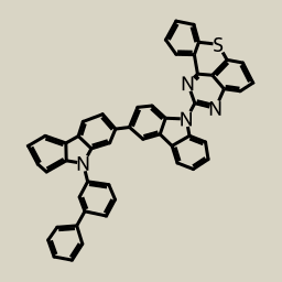 c1ccc(-c2cccc(-n3c4ccccc4c4ccc(-c5ccc6c(c5)c5ccccc5n6-c5nc6c7c(cccc7n5)Sc5ccccc5-6)cc43)c2)cc1